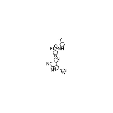 C=C(C)c1cccc(NC(=O)C2(CC)CCN(c3ccc(-c4cc(-c5cnn(C)c5)cn5ncc(C#N)c45)cn3)CC2)c1